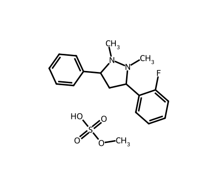 CN1C(c2ccccc2)CC(c2ccccc2F)N1C.COS(=O)(=O)O